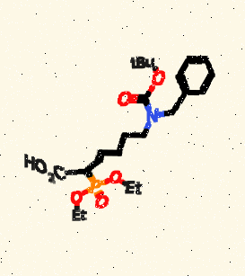 CCOP(=O)(OCC)C(CCCCN(Cc1ccccc1)C(=O)OC(C)(C)C)C(=O)O